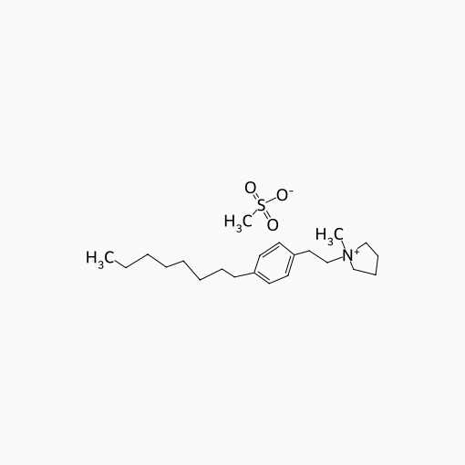 CCCCCCCCc1ccc(CC[N+]2(C)CCCC2)cc1.CS(=O)(=O)[O-]